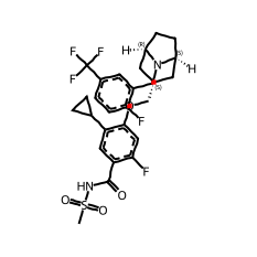 CS(=O)(=O)NC(=O)c1cc(C2CC2)c(OC[C@@H]2C[C@H]3CC[C@@H](C2)N3Cc2cc(C(F)(F)F)ccc2F)cc1F